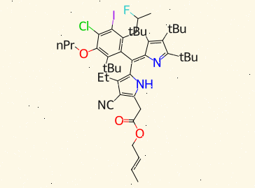 C/C=C/COC(=O)Cc1[nH]c(/C(=C2\N=C(C(C)(C)C)C(C(C)(C)C)=C2C(C)(C)C)c2c(CC(C)F)c(I)c(Cl)c(OCCC)c2C(C)(C)C)c(CC)c1C#N